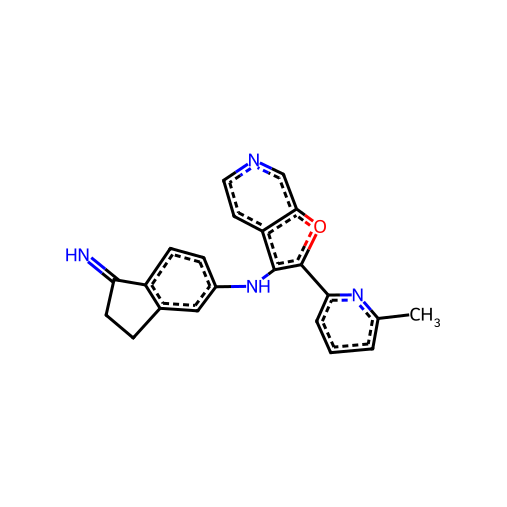 Cc1cccc(-c2oc3cnccc3c2Nc2ccc3c(c2)CCC3=N)n1